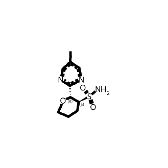 Cc1cnc([C@H]2OCCC[C@@H]2S(N)(=O)=O)nc1